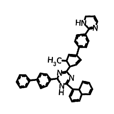 CC1C=C(c2ccc(C3=NC=CCN3)cc2)C=CC1C1=NC(c2ccc(-c3ccccc3)cc2)NC(C2=CC=CC3C=CC=CC23)=N1